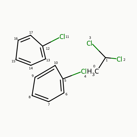 CC(Cl)Cl.Clc1ccccc1.Clc1ccccc1